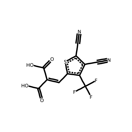 N#Cc1sc(C=C(C(=O)O)C(=O)O)c(C(F)(F)F)c1C#N